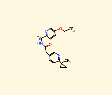 C[C@@H](NC(=O)Cc1ccc(C2(C(F)(F)F)CC2)nc1)c1ccc(OCC(F)(F)F)cn1